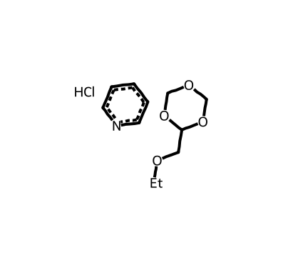 CCOCC1OCOCO1.Cl.c1ccncc1